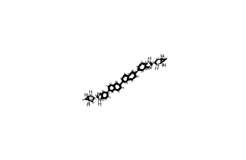 c1cc2cc(-c3ccc4[nH]c([C@@H]5C[C@H]6C[C@H]6N5)nc4c3)ccc2cc1-c1ccc2cc(-c3ccc4[nH]c([C@@H]5C[C@H]6C[C@H]6N5)nc4c3)ccc2c1